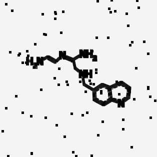 N/C=C/N=C(/N)CNCc1ccc2ncccc2c1